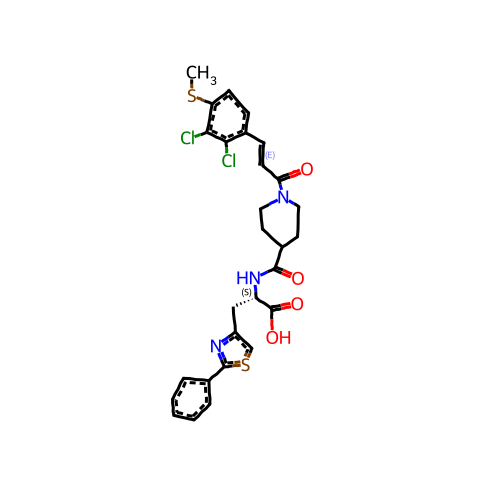 CSc1ccc(/C=C/C(=O)N2CCC(C(=O)N[C@@H](Cc3csc(-c4ccccc4)n3)C(=O)O)CC2)c(Cl)c1Cl